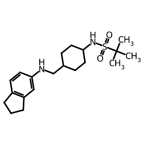 CC(C)(C)S(=O)(=O)NC1CCC(CNc2ccc3c(c2)CCC3)CC1